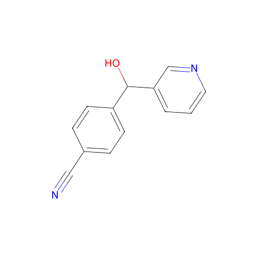 N#Cc1ccc(C(O)c2cccnc2)cc1